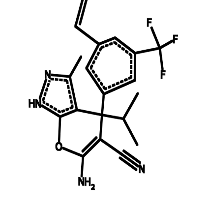 C=Cc1cc(C(F)(F)F)cc(C2(C(C)C)C(C#N)=C(N)Oc3[nH]nc(C)c32)c1